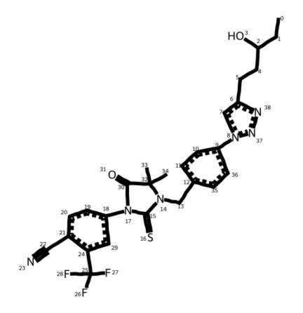 CCC(O)CCc1cn(-c2ccc(CN3C(=S)N(c4ccc(C#N)c(C(F)(F)F)c4)C(=O)C3(C)C)cc2)nn1